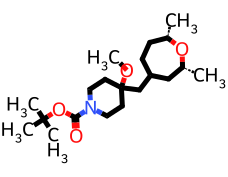 COC1(CC2CC[C@H](C)O[C@H](C)C2)CCN(C(=O)OC(C)(C)C)CC1